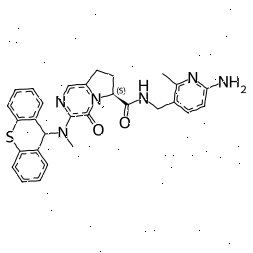 Cc1nc(N)ccc1CNC(=O)[C@@H]1CCc2cnc(N(C)C3c4ccccc4Sc4ccccc43)c(=O)n21